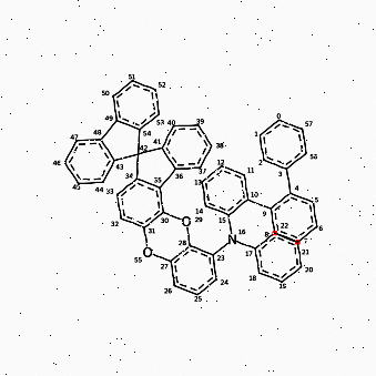 c1ccc(-c2ccccc2-c2ccccc2N(c2ccccc2)c2cccc3c2Oc2c(ccc4c2-c2ccccc2C42c4ccccc4-c4ccccc42)O3)cc1